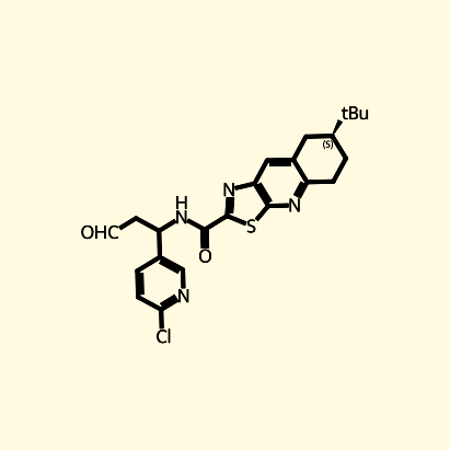 CC(C)(C)[C@H]1CCc2nc3sc(C(=O)NC(CC=O)c4ccc(Cl)nc4)nc3cc2C1